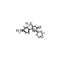 C[C@H]1CC(=O)N(C2CCOCC2)N=C1c1ccc(N)cc1